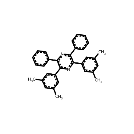 Cc1cc(C)cc(-c2nc(-c3cc(C)cc(C)c3)c(-c3ccccc3)nc2-c2ccccc2)c1